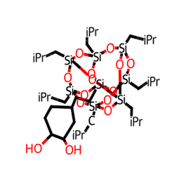 CC(C)C[Si]12O[Si]3(CCC4CCC(O)C(O)C4)O[Si]4(CC(C)C)O[Si](CC(C)C)(O1)O[Si]1(CC(C)C)O[Si](CC(C)C)(O2)O[Si](CC(C)C)(O3)O[Si](CC(C)C)(O4)O1